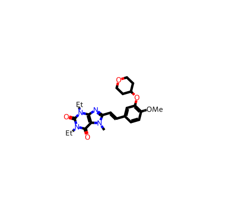 CCn1c(=O)c2c(nc(/C=C/c3ccc(OC)c(OC4CCOCC4)c3)n2C)n(CC)c1=O